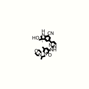 Cc1cc(Nc2nccc(-c3cc(C#N)c4c(c3)[C@@](C)(CO)CN4)n2)c(=O)n(CC(C)N2CCOCC2)c1